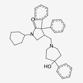 O=C1N(C2CCCCC2)CC(CN2CCC(O)(c3ccccc3)CC2)C1(c1ccccc1)c1ccccc1